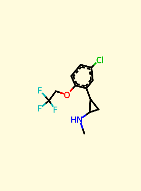 CNC1CC1c1cc(Cl)ccc1OCC(F)(F)F